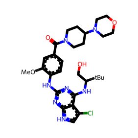 COc1cc(C(=O)N2CCC(N3CCOCC3)CC2)ccc1Nc1nc(NC(CO)C(C)(C)C)c2c(Cl)c[nH]c2n1